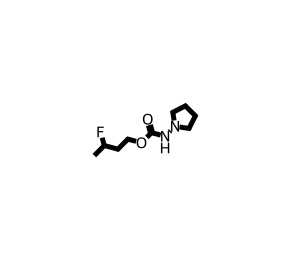 CC(F)CCOC(=O)NN1CCCC1